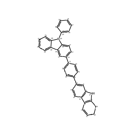 C1=Cc2c([nH]c3cc(-c4ccc(-c5ccc6c(c5)c5ccccc5n6-c5ccccc5)cc4)ccc23)CC1